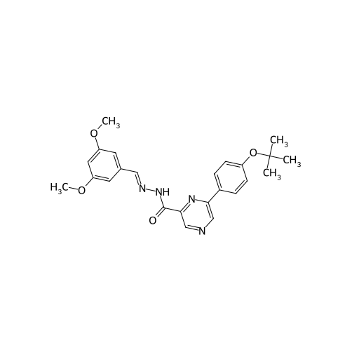 COc1cc(/C=N/NC(=O)c2cncc(-c3ccc(OC(C)(C)C)cc3)n2)cc(OC)c1